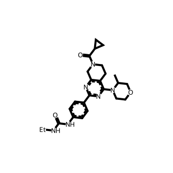 CCNC(=O)Nc1ccc(-c2nc3c(c(N4CCOCC4C)n2)CCN(C(=O)C2CC2)C3)cc1